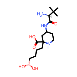 CC(C)(C)[C@H](N)C(=O)NC1CCNC(CCCCB(O)O)(C(=O)O)C1